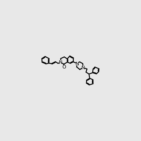 O=C1c2cc(N3CCN(CCC(c4ccccc4)c4ccccc4)CC3)ccc2CCN1CC=Cc1ccccc1